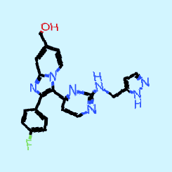 OCc1ccn2c(-c3ccnc(NCc4ccn[nH]4)n3)c(-c3ccc(F)cc3)nc2c1